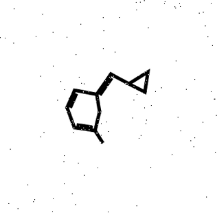 CC1=CC=CC(=CC2CC2)C1